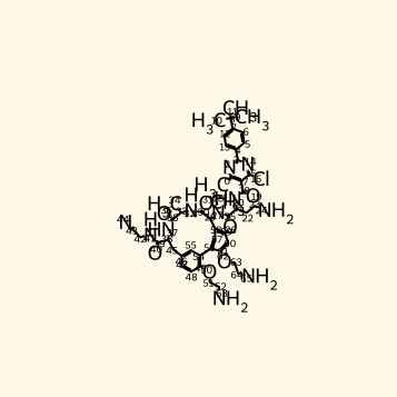 Cc1nc(-c2ccc(C(C)(C)C)cc2)nc(Cl)c1C(=O)NC(CCN)C(=O)N(C)C1C(=O)NC(C)C(=O)NC(C(=O)NCC#N)Cc2ccc(OCCN)c(c2)-c2cc1ccc2OCCN